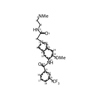 CNCCNC(=O)Cn1cc2cc(NC(=O)c3cccc(C(F)(F)F)n3)c(OC)cc2n1